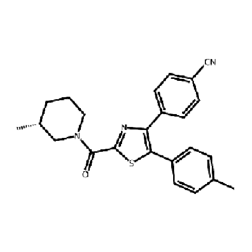 Cc1ccc(-c2sc(C(=O)N3CCC[C@@H](C)C3)nc2-c2ccc(C#N)cc2)cc1